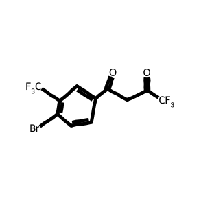 O=C(CC(=O)C(F)(F)F)c1ccc(Br)c(C(F)(F)F)c1